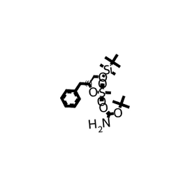 CC(C)(C)OC(N)=O.CC(C)(C)[Si](C)(C)OC[C@H](Cc1ccccc1)OS(C)(=O)=O